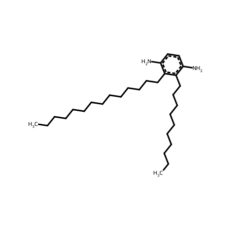 CCCCCCCCCCCCCCc1c(N)ccc(N)c1CCCCCCCCCC